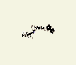 CCN(C/C=C/C#CC(O)(C(F)(F)F)C(F)(F)F)CCOCCOc1cccc(-c2ccsc2)c1